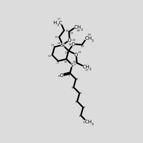 CCCCCCCC(=O)SC1CCC[Si](CCC)(OCC)C1(OCC)OCC